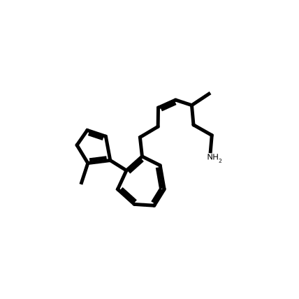 CC1=C(C2=C(CC/C=C\C(C)CCN)C=C=CC=C2)C=CC1